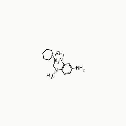 CN(CC[N+]1(C)CCCCC1)c1ccc(N)cc1N